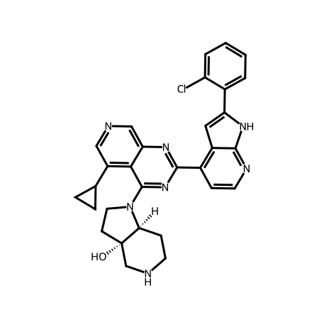 O[C@]12CCN(c3nc(-c4ccnc5[nH]c(-c6ccccc6Cl)cc45)nc4cncc(C5CC5)c34)[C@H]1CCNC2